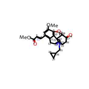 COC(=O)/C=C/c1cc(OC)c2c3c1CC1C4CCC(=O)[C@@H](O2)C34CCN1CC1CC1